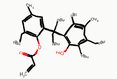 C=CC(=O)Oc1c(CCCC)cc(C)cc1C(CCCC)(CCCC)c1c(O)c(CCCC)c(CCCC)c(C)c1CCCC